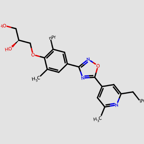 CCCc1cc(-c2noc(-c3cc(C)nc(CC(C)C)c3)n2)cc(C)c1OC[C@@H](O)CO